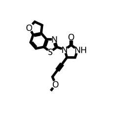 COCC#CC1CNC(=O)N1c1nc2c3c(ccc2s1)OCC3